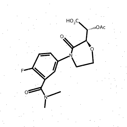 CC(=O)O[C@@H](C(=O)O)[C@H]1OCCN(c2ccc(F)c(C(=O)N(C)C)c2)C1=O